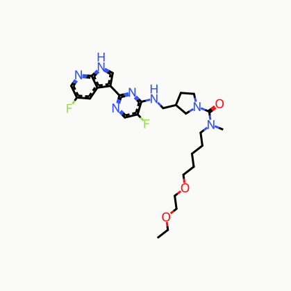 CCOCCOCCCCCN(C)C(=O)N1CCC(CNc2nc(-c3c[nH]c4ncc(F)cc34)ncc2F)C1